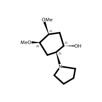 CO[C@H]1C[C@H](O)[C@@H](N2CCCC2)C[C@H]1OC